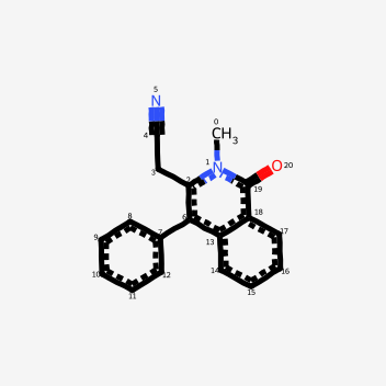 Cn1c(CC#N)c(-c2ccccc2)c2ccccc2c1=O